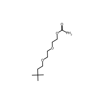 CC(C)(C)CCOCCOCCOC(=O)P